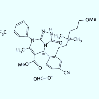 COCCC[N+](C)(C)CCc1cc(C#N)ccc1[C@@H]1C(C(=O)OC)=C(C)N(c2cccc(C(F)(F)F)c2)c2n[nH]c(=O)n21.O=C[O-]